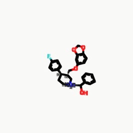 Fc1ccc([C@@H]2CCNC[C@H]2COc2ccc3c(c2)OCO3)cc1.O=C(O)C(O)c1ccccc1